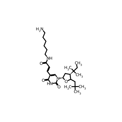 CCC(C)(C)[C@@H]1C[C@H](n2cc(/C=C/C(=O)NCCCCCCN)c(=O)[nH]c2=O)OC1CC(C)(C)C